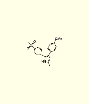 COc1ccc(-c2cc(C)[nH]c2-c2ccc(S(C)(=O)=O)cc2)cc1